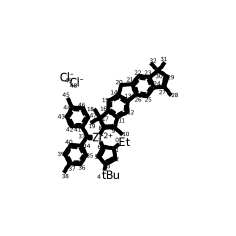 CCC1C=C(C(C)(C)C)C=[C]1[Zr+2]([C]1=C(C)c2cc3c(cc2C1(C)C)Cc1cc2c(cc1-3)C(C)=CC2(C)C)=[C](c1ccc(C)cc1)c1ccc(C)cc1.[Cl-].[Cl-]